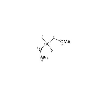 CCCCOC(C)(C)COC